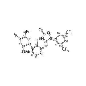 COc1cc(F)c(C(C)C)cc1-c1ccccc1CN1C(=O)OC(c2cc(C(F)(F)F)cc(C(F)(F)F)c2)C1C